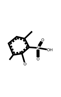 Cc1ccc(C)c(S(=O)(=O)O)c1[O]